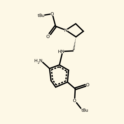 CC(C)(C)OC(=O)c1ccc(N)c(NC[C@H]2CCN2C(=O)OC(C)(C)C)c1